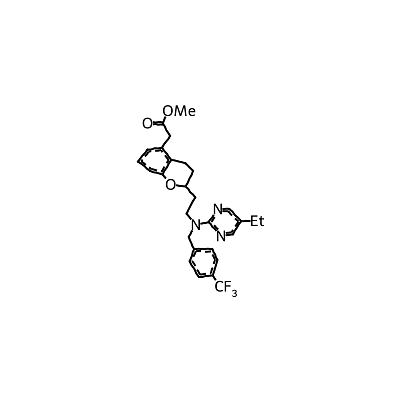 CCc1cnc(N(CCC2CCc3c(CC(=O)OC)cccc3O2)Cc2ccc(C(F)(F)F)cc2)nc1